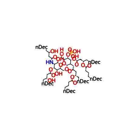 CCCCCCCCCCCCCC(=O)O[C@H](CCCCCCCCCCC)CC(=O)CC1[C@H](OCC2O[C@H](O)C(NC(=O)C[C@H](O)CCCCCCCCCCC)[C@@H](OC(=O)C[C@H](O)CCCCCCCCCCC)C2O)OC(CO)C(OP(=O)(O)O)[C@@H]1OC(=O)C[C@@H](CCCCCCCCCCC)OC(=O)CCCCCCCCCCCCC